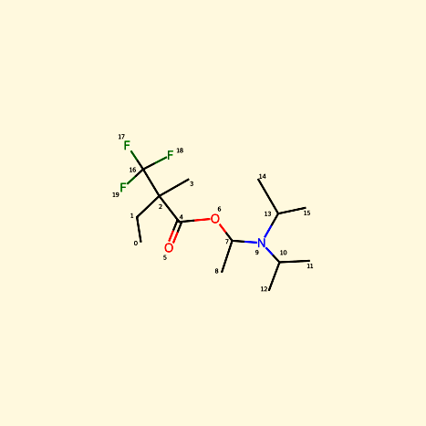 CCC(C)(C(=O)OC(C)N(C(C)C)C(C)C)C(F)(F)F